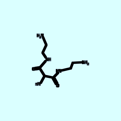 CCCC(C(=O)NCCN)C(=O)NCCN